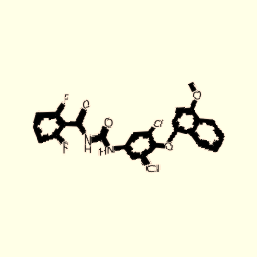 COc1ccc(Oc2c(Cl)cc(NC(=O)NC(=O)c3c(F)cccc3F)cc2Cl)c2ccccc12